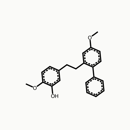 COc1ccc(-c2ccccc2)c(CCc2ccc(OC)c(O)c2)c1